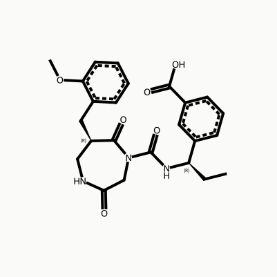 CC[C@@H](NC(=O)N1CC(=O)NC[C@@H](Cc2ccccc2OC)C1=O)c1cccc(C(=O)O)c1